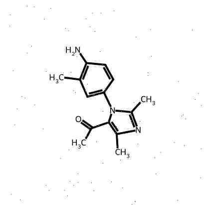 CC(=O)c1c(C)nc(C)n1-c1ccc(N)c(C)c1